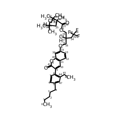 CCCCCc1ccc(-c2cc3ccc(OCC(C)(COC(=O)C(C)(CC(C)(C)C)C(C)(C)C)CC(F)(F)F)cc3oc2=O)c(CC)c1